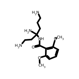 COc1cccc(OC)c1C(=O)NC(N)(CCN)CCCN